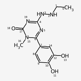 CCNNc1nc(-c2ccc(O)c(O)c2)n(C)c(=O)n1